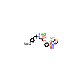 COc1ccc(CC(C)(C)NC[C@@H](O)COc2cccc(S(=O)(=O)NN3CCOC(C#N)C3Cl)c2)cc1.Cl